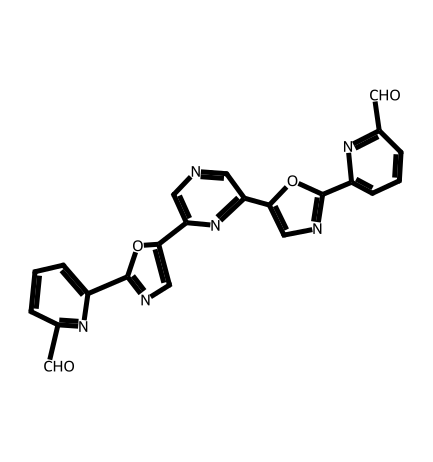 O=Cc1cccc(-c2ncc(-c3cncc(-c4cnc(-c5cccc(C=O)n5)o4)n3)o2)n1